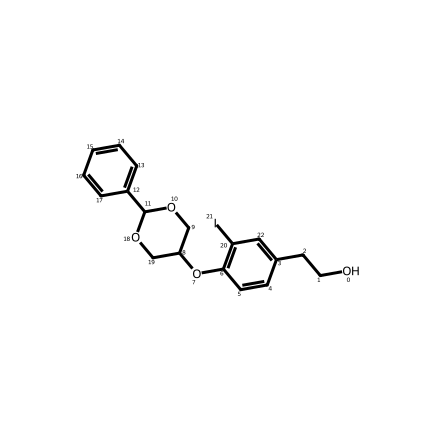 OCCc1ccc(OC2COC(c3ccccc3)OC2)c(I)c1